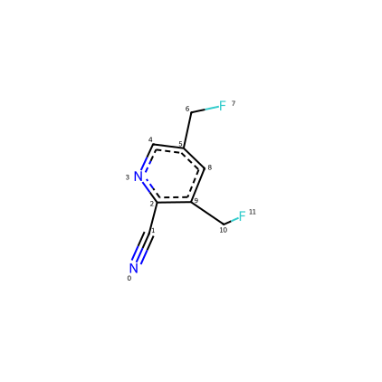 N#Cc1ncc(CF)cc1CF